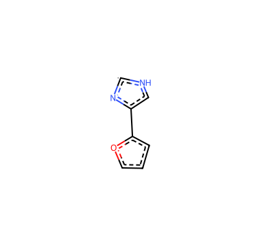 [c]1nc(-c2ccco2)c[nH]1